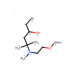 CCCCCCOCCN(C)C(C)(C)CC(O)CC(C)C